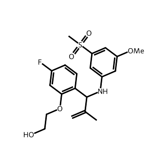 C=C(C)C(Nc1cc(OC)cc(S(C)(=O)=O)c1)c1ccc(F)cc1OCCO